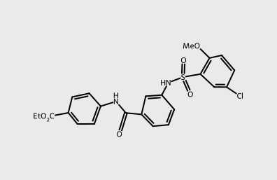 CCOC(=O)c1ccc(NC(=O)c2cccc(NS(=O)(=O)c3cc(Cl)ccc3OC)c2)cc1